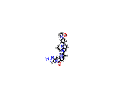 CCC1[C@H](N)C(C)CN1C(=O)c1ccc2c(C)c(-c3cc4ccc(-c5ccc(N6CCCC6=O)cc5)nc4n3CC3CC3)nn2c1